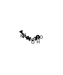 O=C1CCC2(CN(C(=O)N3CC4(CC(n5cnc(C6CC6)n5)C4)C3)C2)N1